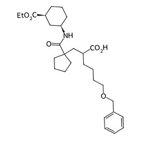 CCOC(=O)[C@H]1CCC[C@@H](NC(=O)C2(CC(CCCCOCc3ccccc3)C(=O)O)CCCC2)C1